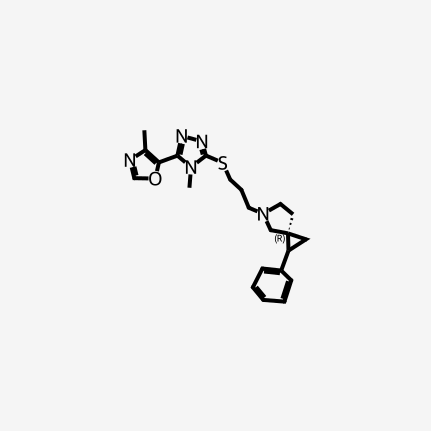 Cc1ncoc1-c1nnc(SCCCN2CC[C@@]3(CC3c3ccccc3)C2)n1C